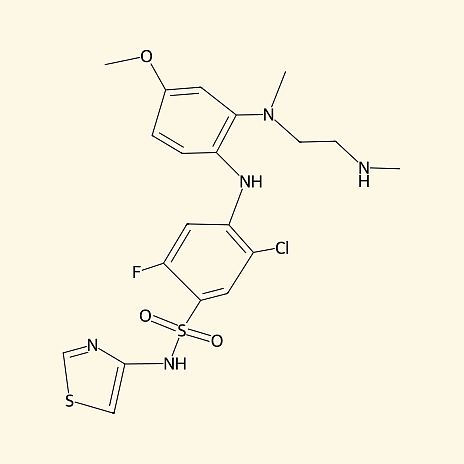 CNCCN(C)c1cc(OC)ccc1Nc1cc(F)c(S(=O)(=O)Nc2cscn2)cc1Cl